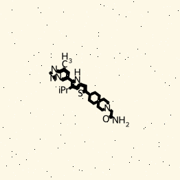 Cc1cc(-c2[nH]c3cc(C4CCC5(CC4)CCN(CC(N)=O)CC5)sc3c2C(C)C)cn2ncnc12